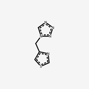 c1nc(Cn2cnnn2)cs1